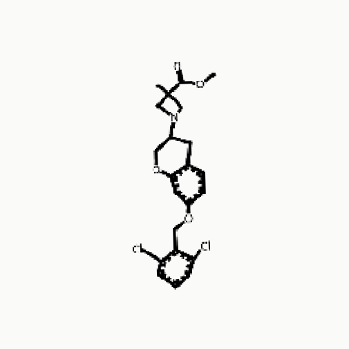 COC(=O)C1(C)CN(C2COc3cc(OCc4c(Cl)cccc4Cl)ccc3C2)C1